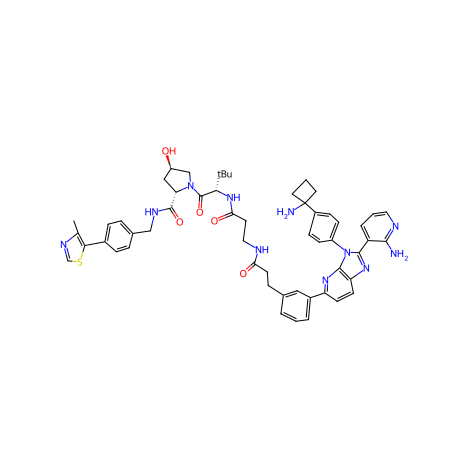 Cc1ncsc1-c1ccc(CNC(=O)[C@@H]2C[C@@H](O)CN2C(=O)[C@@H](NC(=O)CCNC(=O)CCc2cccc(-c3ccc4nc(-c5cccnc5N)n(-c5ccc(C6(N)CCC6)cc5)c4n3)c2)C(C)(C)C)cc1